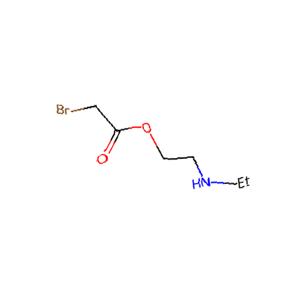 CCNCCOC(=O)CBr